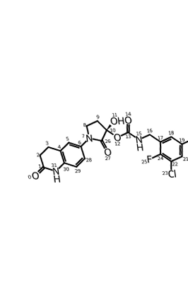 O=C1CCc2cc(N3CC[C@](O)(OC(=O)NCc4cc(F)cc(Cl)c4F)C3=O)ccc2N1